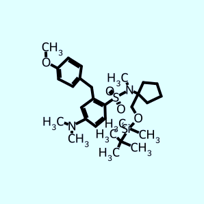 COc1ccc(Cc2cc(N(C)C)ccc2S(=O)(=O)N(C)C2(CO[Si](C)(C)C(C)(C)C)CCCC2)cc1